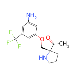 CC(=O)[C@]1(COc2cc(N)cc(C(F)(F)F)c2)CCCN1